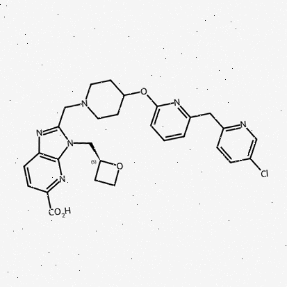 O=C(O)c1ccc2nc(CN3CCC(Oc4cccc(Cc5ccc(Cl)cn5)n4)CC3)n(C[C@@H]3CCO3)c2n1